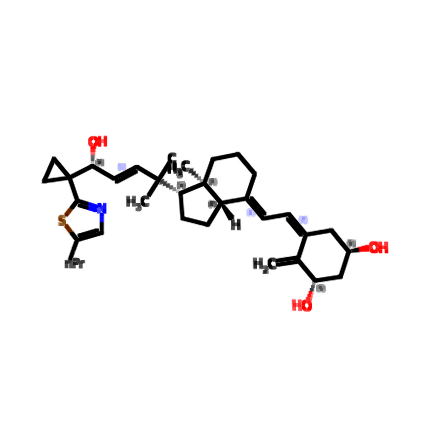 C=C1/C(=C\C=C2/CCC[C@]3(C)[C@@H](C(C)(C)/C=C/[C@@H](O)C4(c5ncc(CCC)s5)CC4)CC[C@@H]23)C[C@@H](O)C[C@@H]1O